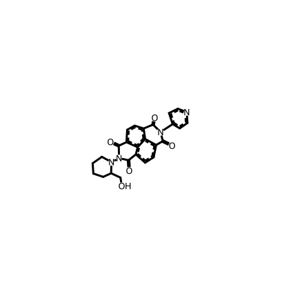 O=C1c2ccc3c4c(ccc(c24)C(=O)N1c1ccncc1)C(=O)N(N1CCCCC1CO)C3=O